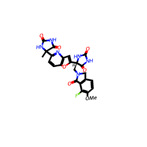 COc1ccc2c(c1F)C(=O)N(C[C@@]1(c3cc4nc(C5(C)NC(=O)NC5=O)ccc4o3)NC(=O)NC1=O)C2